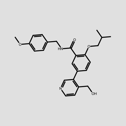 COc1ccc(CNC(=O)c2cc(-c3cnccc3CO)ccc2OCC(C)C)cc1